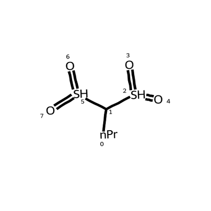 [CH2]CCC([SH](=O)=O)[SH](=O)=O